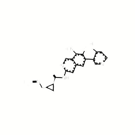 C=NC[C@H]1C[C@@H]1C(=O)Nc1cc2cc(-c3cnccc3C)c(Cl)c(N)c2cn1